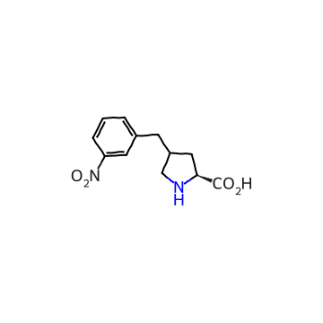 O=C(O)[C@@H]1CC(Cc2cccc([N+](=O)[O-])c2)CN1